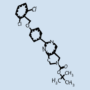 CC(C)(C)OC(=O)N1CCc2nc(-c3ccc(OCc4c(Cl)cccc4Cl)cc3)ncc2C1